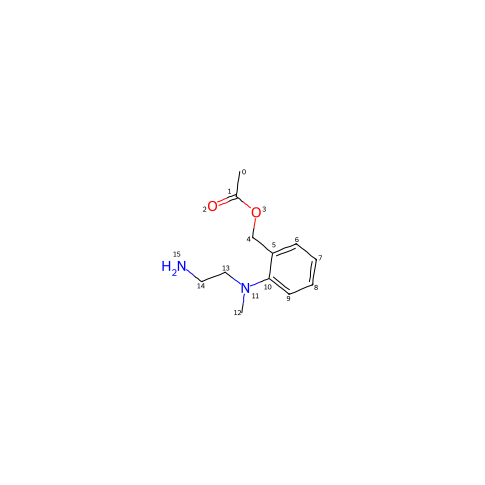 CC(=O)OCc1ccccc1N(C)CCN